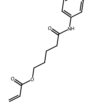 C=CC(=O)OCCCCC(=O)Nc1ccccc1